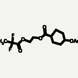 CC(=O)OC1CCC(C(=O)OCCOC(=O)C(C)(F)F)CC1